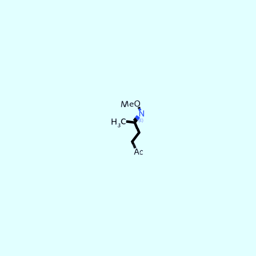 CO/N=C(\C)CCC(C)=O